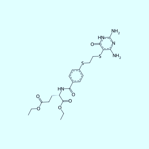 CCOC(=O)CC[C@H](NC(=O)c1ccc(SCCSc2c(N)nc(N)[nH]c2=O)cc1)C(=O)OCC